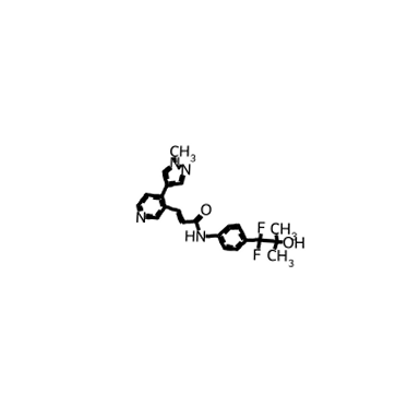 Cn1cc(-c2ccncc2C=CC(=O)Nc2ccc(C(F)(F)C(C)(C)O)cc2)cn1